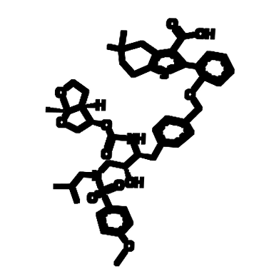 COc1ccc(S(=O)(=O)N(CC(C)C)C[C@@H](O)[C@H](Cc2ccc(COc3ccccc3-c3sc4c(c3C(=O)O)CC(C)(C)CC4)cc2)NC(=O)O[C@H]2CO[C@@]3(C)OCC[C@@H]23)cc1